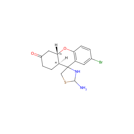 NC1NC2(CS1)c1cc(Br)ccc1O[C@H]1CC(=O)CC[C@@H]12